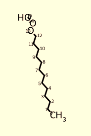 CCCCCCCCCCCCCOOO